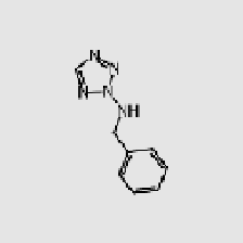 c1ccc(CNn2ncnn2)cc1